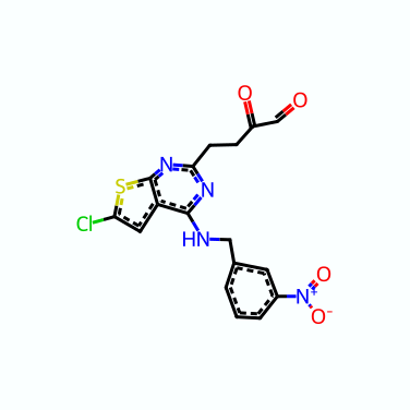 O=CC(=O)CCc1nc(NCc2cccc([N+](=O)[O-])c2)c2cc(Cl)sc2n1